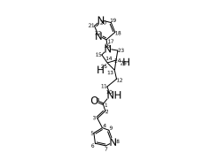 O=C(/C=C/c1cccnc1)NCCC1[C@H]2CN(c3ccncn3)C[C@@H]12